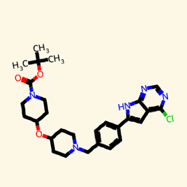 CC(C)(C)OC(=O)N1CCC(OC2CCN(Cc3ccc(-c4cc5c(Cl)ncnc5[nH]4)cc3)CC2)CC1